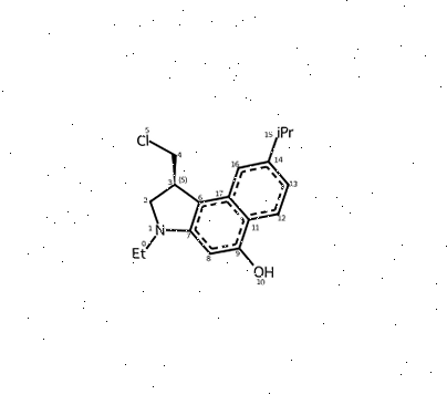 CCN1C[C@@H](CCl)c2c1cc(O)c1ccc(C(C)C)cc21